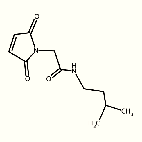 CC(C)CCNC(=O)CN1C(=O)C=CC1=O